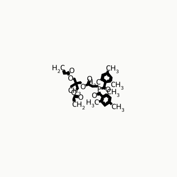 C=CC(=O)OCC(CC)(COC(=O)C=C)COC(=O)CCP(C(=O)c1c(C)cc(C)cc1C)C(=O)c1c(C)cc(C)cc1C